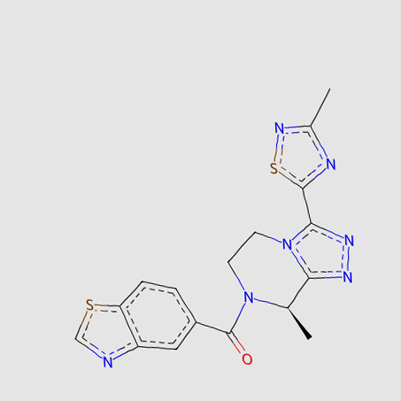 Cc1nsc(-c2nnc3n2CCN(C(=O)c2ccc4scnc4c2)[C@@H]3C)n1